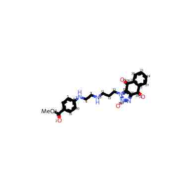 COC(=O)c1ccc(NCCNCCCn2c3c(n[n+]2[O-])C(=O)c2ccccc2C3=O)cc1